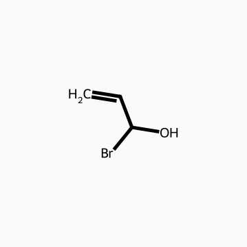 C=CC(O)Br